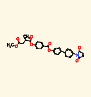 C=C(CC(=O)OC)C(=O)Oc1ccc(C(=O)Oc2ccc(-c3ccc(N4C(=O)C=CC4=O)cc3)cc2)cc1